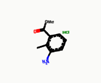 COC(=O)c1cccc(N)c1C.Cl